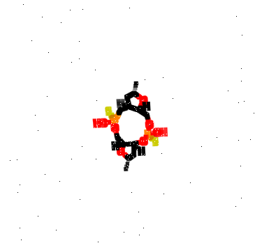 C[C@H]1C[C@@H]2CP(O)(=S)OC[C@H]3O[C@@H](C)C[C@@H]3O[P@@](O)(=S)OC[C@H]2O1